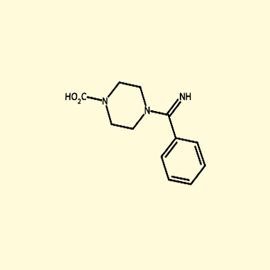 N=C(c1ccccc1)N1CCN(C(=O)O)CC1